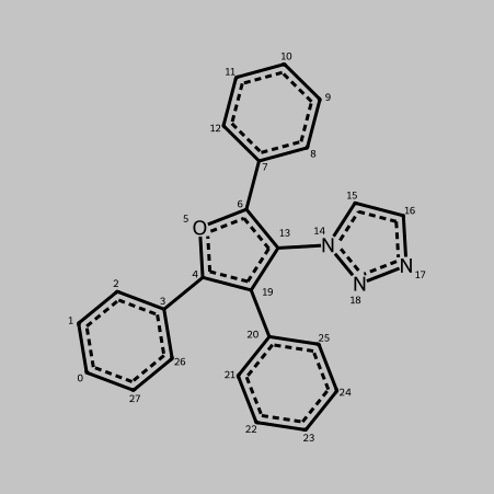 c1ccc(-c2oc(-c3ccccc3)c(-n3ccnn3)c2-c2ccccc2)cc1